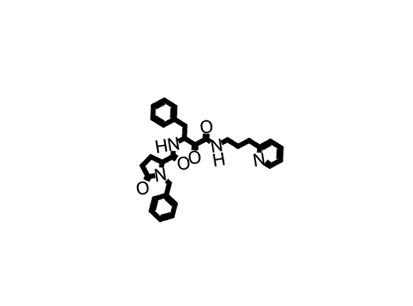 O=C(NCCCc1ccccn1)C(=O)C(Cc1ccccc1)NC(=O)C1CCC(=O)N1Cc1ccccc1